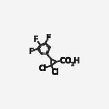 O=C(O)C1C(c2cc(F)c(F)c(F)c2)C1(Cl)Cl